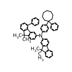 CC1(C)c2ccccc2-c2ccc(N(c3ccc(C4(c5ccccc5)CCCCCCC4)cc3)c3ccc4c(c3)-c3c(-c5ccccc5)cccc3C4(C)C)cc21